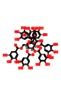 O=C(OC[C@@H](OC(=O)c1cc(O)c(O)c(O)c1)[C@@H](OC(=O)c1cc(O)c(O)c(O)c1)[C@H](OC(=O)c1cc(O)c(O)c(O)c1)[C@@](OC(=O)c1cc(O)c(O)c(O)c1)(C(=O)C(=O)c1cc(O)c(O)c(O)c1)C(=O)c1cc(O)c(O)c(O)c1)c1cc(O)c(O)c(O)c1